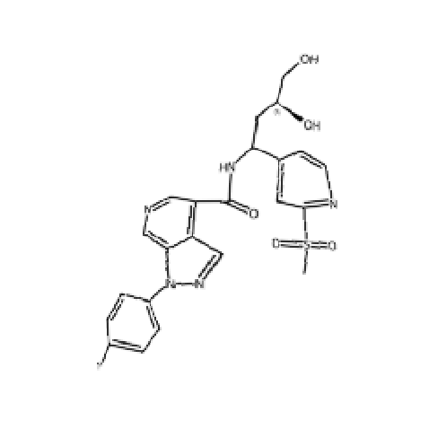 CS(=O)(=O)c1cc(C(C[C@H](O)CO)NC(=O)c2cncc3c2cnn3-c2ccc(F)cc2)ccn1